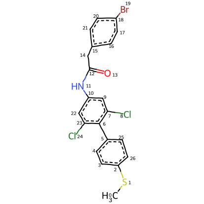 CSc1ccc(-c2c(Cl)cc(NC(=O)Cc3ccc(Br)cc3)cc2Cl)cc1